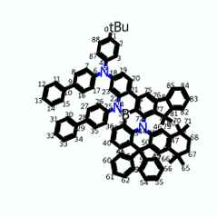 CC(C)(C)c1ccc(N(c2ccc(-c3ccccc3)cc2)c2ccc3c(c2)N(c2ccc(-c4ccccc4)cc2)B2c4cccc5c4N(c4cc6c(cc4C5(c4ccccc4)c4ccccc4)C(C)(C)CCC6(C)C)c4c2c-3cc2c4C(C)(C)c3ccccc3-2)cc1